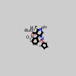 CCCN1CC(=NOC2CCCC2)C(c2ccccc2[N+](=O)[O-])C(C(=O)OCC(C)C)=C1C